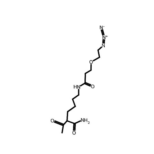 CC(=O)C(CCCCNC(=O)CCOCCN=[N+]=[N-])C(N)=O